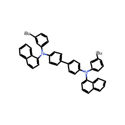 CCC(C)c1cccc(N(c2ccc(-c3ccc(N(c4cccc(C(C)CC)c4)c4cccc5ccccc45)cc3)cc2)c2cccc3ccccc23)c1